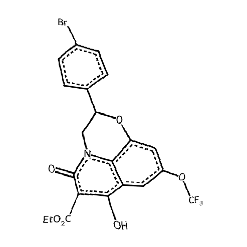 CCOC(=O)c1c(O)c2cc(OC(F)(F)F)cc3c2n(c1=O)CC(c1ccc(Br)cc1)O3